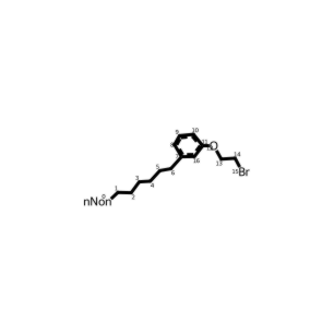 CCCCCCCCCCCCCCCc1cccc(OCCBr)c1